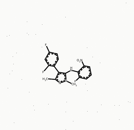 Cc1nn(C)c(Nc2c(F)cccc2[N+](=O)[O-])c1-c1ccc(F)cc1F